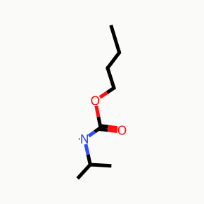 CCCCOC(=O)[N]C(C)C